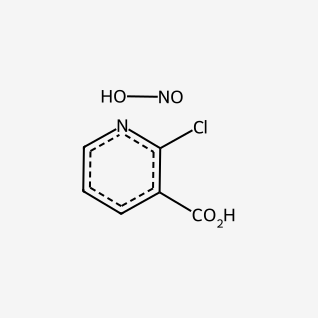 O=C(O)c1cccnc1Cl.O=NO